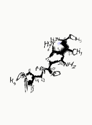 C/C(N)=C(\C)c1c(N)sc(C(=O)NCc2cnn(C)c2)c1N